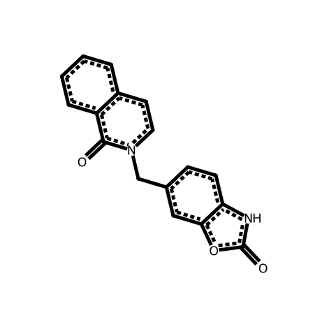 O=c1[nH]c2ccc(Cn3ccc4ccccc4c3=O)cc2o1